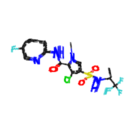 CC(NS(=O)(=O)c1cn(C)c(C(=O)Nc2ccc(F)cn2)c1Cl)C(F)(F)F